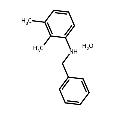 Cc1cccc(NCc2ccccc2)c1C.O